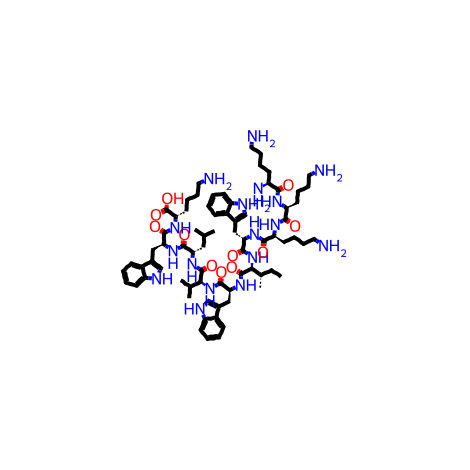 CC[C@H](C)[C@H](NC(=O)[C@H](Cc1c[nH]c2ccccc12)NC(=O)[C@H](CCCCN)NC(=O)[C@H](CCCCN)NC(=O)[C@@H](N)CCCCN)C(=O)N[C@@H](Cc1c[nH]c2ccccc12)C(=O)N[C@H](C(=O)N[C@@H](CC(C)C)C(=O)N[C@@H](Cc1c[nH]c2ccccc12)C(=O)N[C@@H](CCCCN)C(=O)O)C(C)C